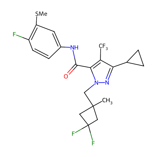 CSc1cc(NC(=O)c2c(C(F)(F)F)c(C3CC3)nn2CC2(C)CC(F)(F)C2)ccc1F